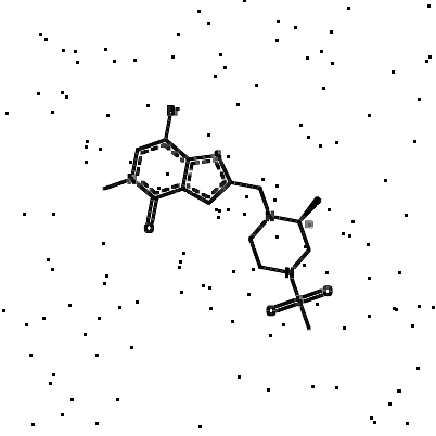 C[C@H]1CN(S(C)(=O)=O)CCN1Cc1cc2c(=O)n(C)cc(Br)c2s1